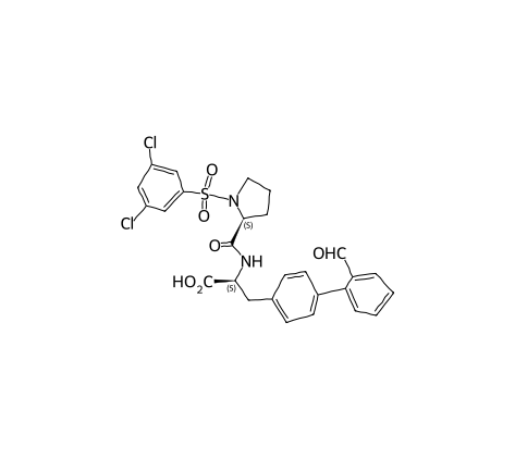 O=Cc1ccccc1-c1ccc(C[C@H](NC(=O)[C@@H]2CCCN2S(=O)(=O)c2cc(Cl)cc(Cl)c2)C(=O)O)cc1